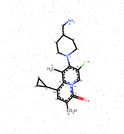 Cc1c(N2CCC(CN)CC2)c(F)cn2c(=O)c(C(=O)O)cc(C3CC3)c12